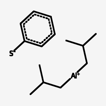 CC(C)[CH2][Al+][CH2]C(C)C.[S-]c1ccccc1